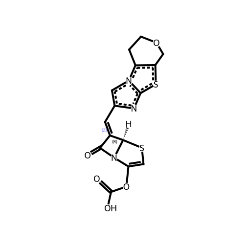 O=C(O)OC1=CS[C@@H]2/C(=C\c3cn4c5c(sc4n3)COCC5)C(=O)N12